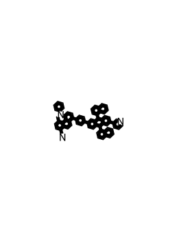 N#Cc1ccc2c3c1ccc1c(-c4ccc(-c5ccc6c(-c7cccc8ccccc78)c7cc(-c8cccnc8)ccc7c(-c7cccc8ccccc78)c6c5)cc4)ccc(c13)N(c1ccccc1)C2